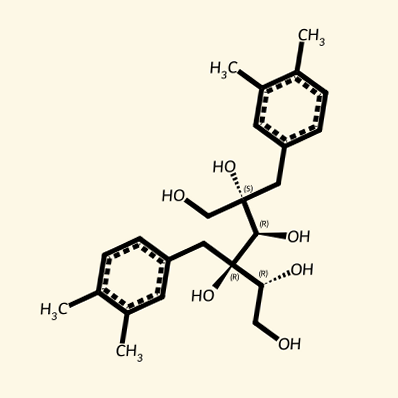 Cc1ccc(C[C@](O)(CO)[C@@H](O)[C@@](O)(Cc2ccc(C)c(C)c2)[C@H](O)CO)cc1C